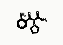 NC(=O)N(C(=O)c1ccccc1N)N1CCCC1